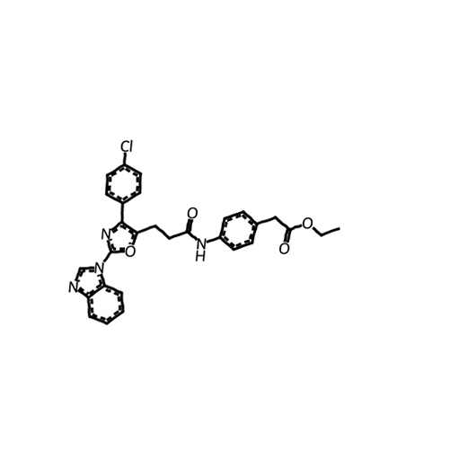 CCOC(=O)Cc1ccc(NC(=O)CCc2oc(-n3cnc4ccccc43)nc2-c2ccc(Cl)cc2)cc1